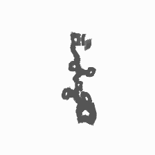 CCCOC(=O)COC(=O)C1CC2C=CC1C2=O